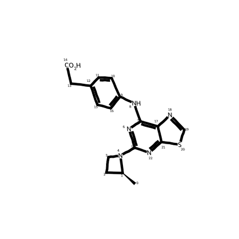 C[C@H]1CCN1c1nc(Nc2ccc(CC(=O)O)cc2)c2ncsc2n1